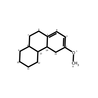 COC1=CC=C2CCC3CCCCC3C2C1